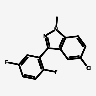 Cn1nc(-c2cc(F)ccc2F)c2cc(Cl)ccc21